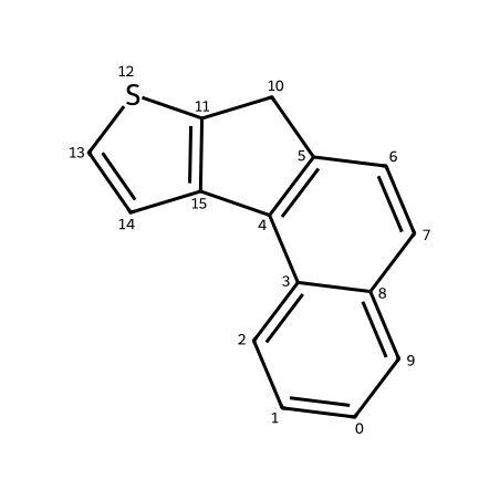 c1ccc2c3c(ccc2c1)Cc1sccc1-3